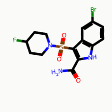 NC(=O)c1[nH]c2ccc(Br)cc2c1S(=O)(=O)N1CCC(F)CC1